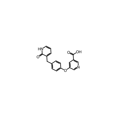 O=C(O)c1cncc(Oc2ccc(Cc3ccc[nH]c3=O)cc2)c1